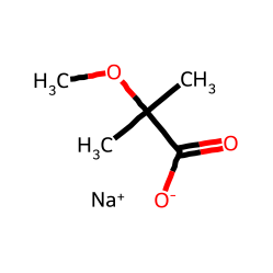 COC(C)(C)C(=O)[O-].[Na+]